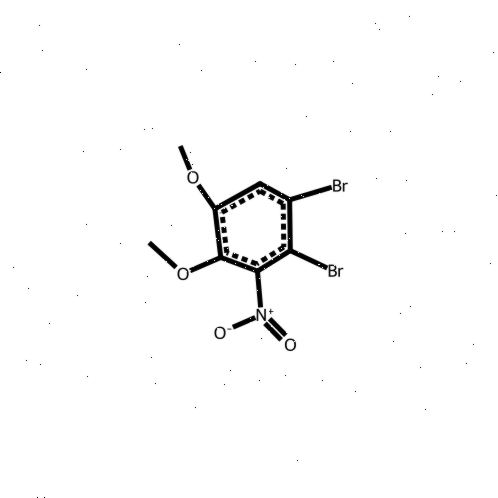 COc1cc(Br)c(Br)c([N+](=O)[O-])c1OC